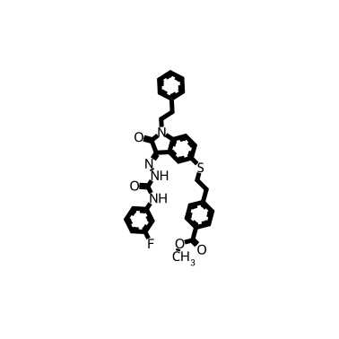 COC(=O)c1ccc(CCSc2ccc3c(c2)/C(=N\NC(=O)Nc2cccc(F)c2)C(=O)N3CCc2ccccc2)cc1